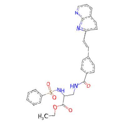 CCOC(=O)C(CNC(=O)c1ccc(/C=C/c2ccc3cccnc3n2)cc1)NS(=O)(=O)c1ccccc1